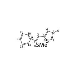 CSC(=Cc1cc(C)cs1)c1ccccc1